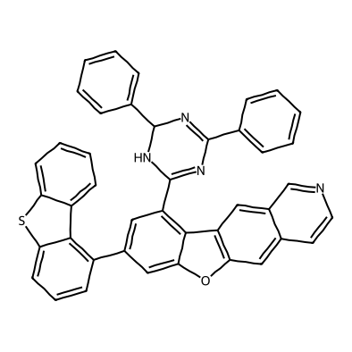 c1ccc(C2=NC(c3ccccc3)NC(c3cc(-c4cccc5sc6ccccc6c45)cc4oc5cc6ccncc6cc5c34)=N2)cc1